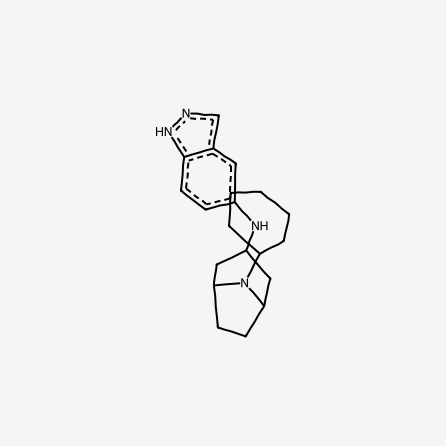 c1cc2[nH]ncc2cc1NC1CC2CCC(C1)N2C1CCCCC1